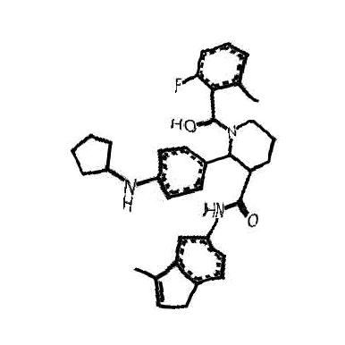 CC1=CCc2ccc(NC(=O)C3CCCN(C(O)c4c(C)cccc4F)C3c3ccc(NC4CCCC4)cc3)cc21